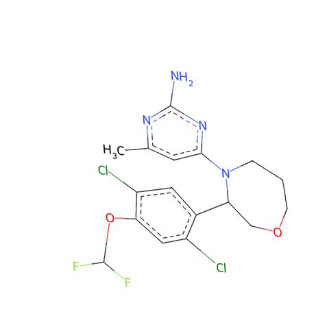 Cc1cc(N2CCCOCC2c2cc(Cl)c(OC(F)F)cc2Cl)nc(N)n1